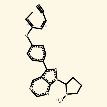 BN1CCCC1n1nc(-c2ccc(OC(/C=C\C#C)=C/C)cc2)c2cncnc21